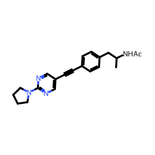 CC(=O)NC(C)Cc1ccc(C#Cc2cnc(N3CCCC3)nc2)cc1